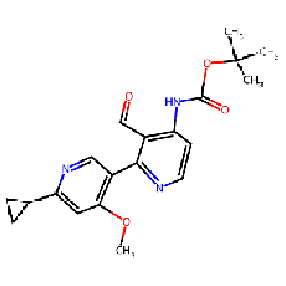 COc1cc(C2CC2)ncc1-c1nccc(NC(=O)OC(C)(C)C)c1C=O